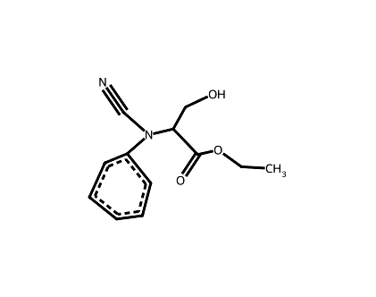 CCOC(=O)C(CO)N(C#N)c1ccccc1